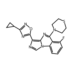 Fc1cccc2c1c(N1CCSCC1)nc1c(-c3nc(C4CC4)no3)ncn12